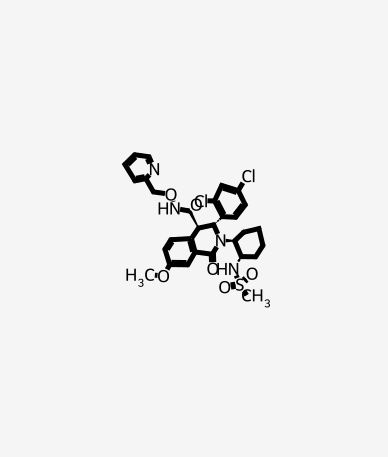 COc1ccc2c(c1)C(=O)N([C@H]1CCCC[C@@H]1NS(C)(=O)=O)[C@@H](c1ccc(Cl)cc1Cl)[C@@H]2C(=O)NOCc1ccccn1